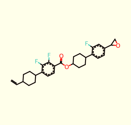 C=CC1CCC(c2ccc(C(=O)OC3CCC(c4ccc(C5CO5)cc4F)CC3)c(F)c2F)CC1